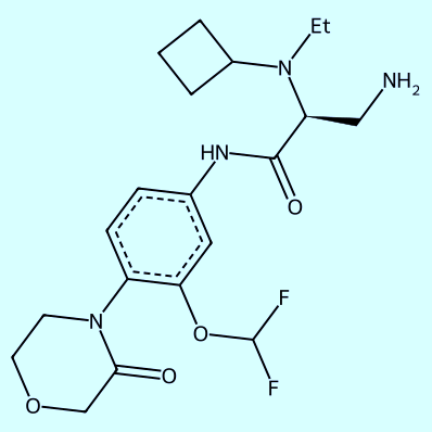 CCN(C1CCC1)[C@@H](CN)C(=O)Nc1ccc(N2CCOCC2=O)c(OC(F)F)c1